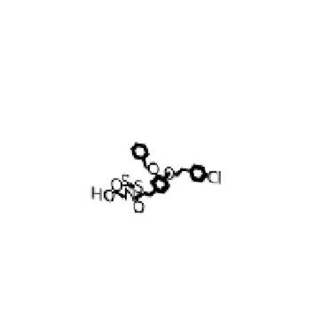 O=C(O)CN1C(=O)C(=Cc2ccc(OCCc3ccc(Cl)cc3)c(OCc3ccccc3)c2)SC1=S